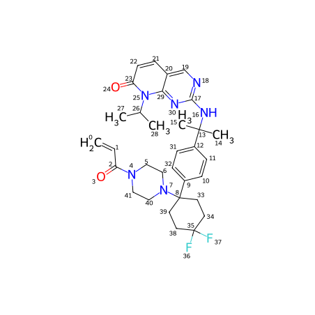 C=CC(=O)N1CCN(C2(c3ccc(C(C)(C)Nc4ncc5ccc(=O)n(C(C)C)c5n4)cc3)CCC(F)(F)CC2)CC1